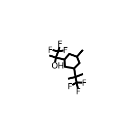 CC1CC(C(C)(C)C(F)(F)F)CC(C(C)(O)C(F)(F)F)C1